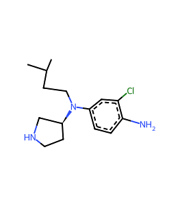 CC(C)CCN(c1ccc(N)c(Cl)c1)[C@H]1CCNC1